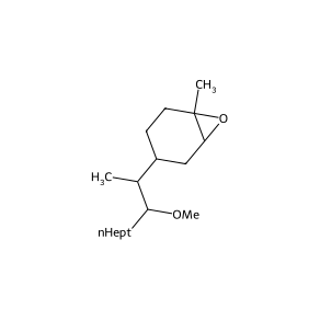 CCCCCCCC(OC)C(C)C1CCC2(C)OC2C1